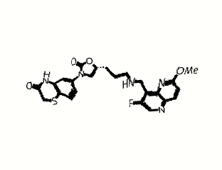 COc1ccc2ncc(F)c(CNCCC[C@@H]3CN(c4ccc5c(c4)NC(=O)CS5)C(=O)O3)c2n1